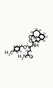 Cc1ccc(COC[C@H](CCC(N)=O)NC(=O)[C@@H]2Cc3cccc4c3N2C(=O)CCC4)cc1